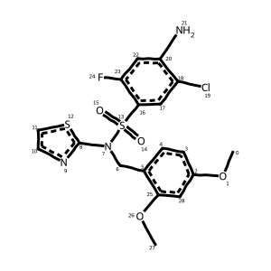 COc1ccc(CN(c2nccs2)S(=O)(=O)c2cc(Cl)c(N)cc2F)c(OC)c1